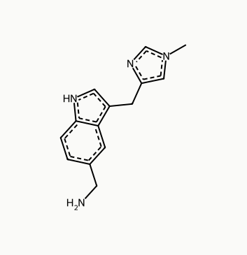 Cn1cnc(Cc2c[nH]c3ccc(CN)cc23)c1